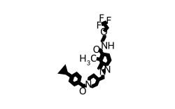 Cc1c(C(=O)NCCOCC(F)(F)F)ccc2nn(CC3CCN(C(=O)c4ccc(C5CC5)cc4)CC3)cc12